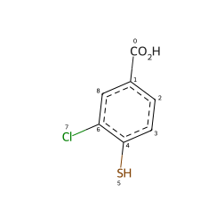 O=C(O)c1ccc(S)c(Cl)c1